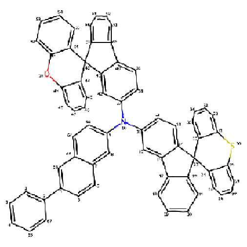 c1ccc(-c2ccc3cc(N(c4ccc5c(c4)-c4ccccc4C54c5ccccc5Sc5ccccc54)c4ccc5c(c4)C4(c6ccccc6Oc6ccccc64)c4ccccc4-5)ccc3c2)cc1